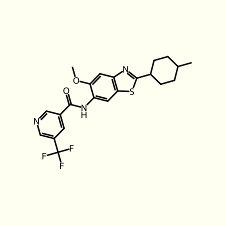 COc1cc2nc(C3CCC(C)CC3)sc2cc1NC(=O)c1cncc(C(F)(F)F)c1